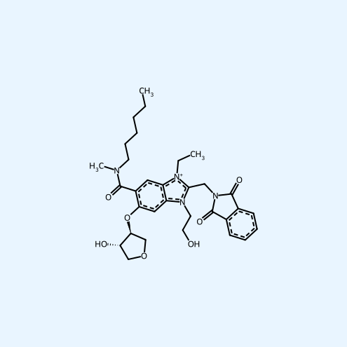 CCCCCCN(C)C(=O)c1cc2c(cc1O[C@H]1COC[C@@H]1O)n(CCO)c(CN1C(=O)c3ccccc3C1=O)[n+]2CC